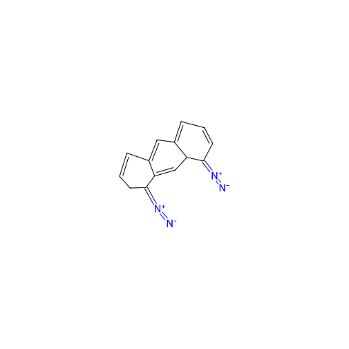 [N-]=[N+]=C1CC=CC2=CC3=CC=CC(=[N+]=[N-])C3C=C21